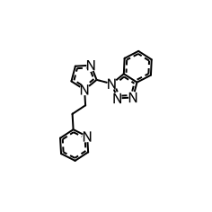 c1ccc(CCn2ccnc2-n2nnc3ccccc32)nc1